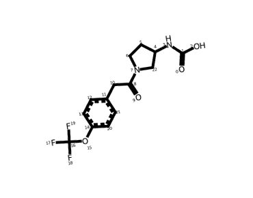 O=C(O)NC1CCN(C(=O)Cc2ccc(OC(F)(F)F)cc2)C1